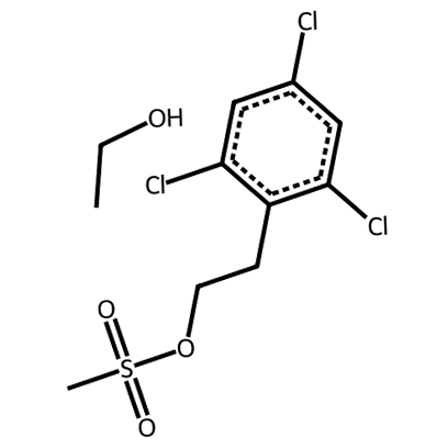 CCO.CS(=O)(=O)OCCc1c(Cl)cc(Cl)cc1Cl